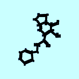 O=C(NCc1ccccc1)c1nc2sccn2c(=O)c1O